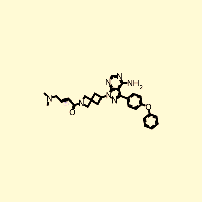 CN(C)C/C=C/C(=O)N1CC2(CC(n3nc(-c4ccc(Oc5ccccc5)cc4)c4c(N)ncnc43)C2)C1